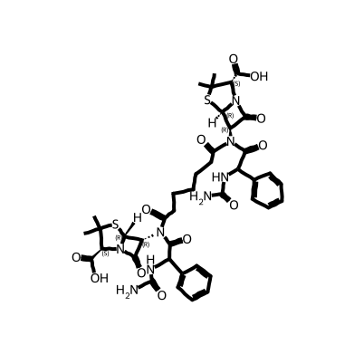 CC1(C)S[C@@H]2[C@H](N(C(=O)CCCCCC(=O)N(C(=O)C(NC(N)=O)c3ccccc3)[C@@H]3C(=O)N4[C@@H]3SC(C)(C)[C@@H]4C(=O)O)C(=O)C(NC(N)=O)c3ccccc3)C(=O)N2[C@H]1C(=O)O